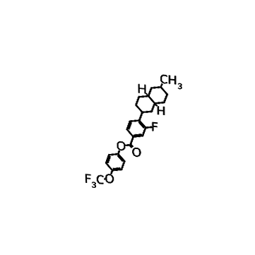 C[C@H]1CC[C@@H]2CC(c3ccc(C(=O)Oc4ccc(OC(F)(F)F)cc4)cc3F)CC[C@H]2C1